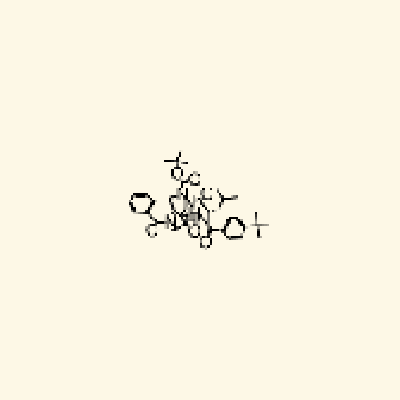 CC(C)C[C@H](NC(=O)c1ccc(C(C)(C)C)cc1)C(=O)N1[C@@H]2C(=O)CN(C(=O)c3ccccc3)C2CN1C(=O)OC(C)(C)C